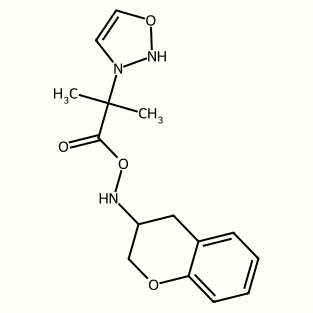 CC(C)(C(=O)ONC1COc2ccccc2C1)N1C=CON1